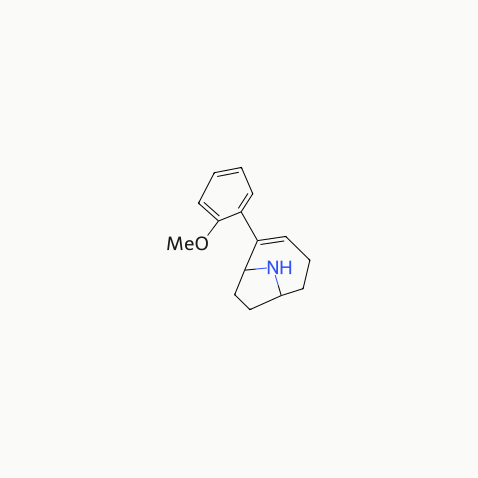 COc1ccccc1C1=CCCC2CCC1N2